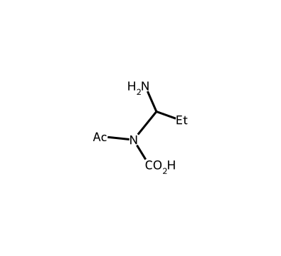 CCC(N)N(C(C)=O)C(=O)O